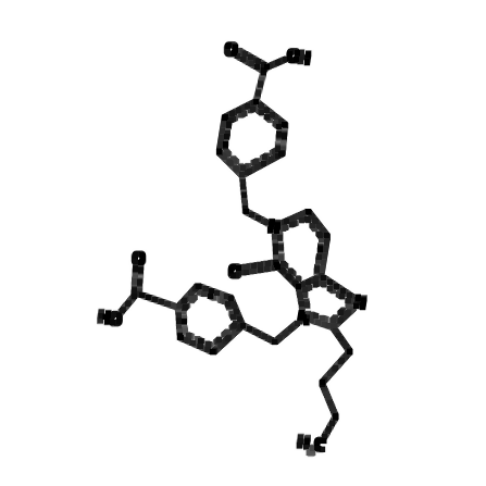 CCCCc1nc2ccn(Cc3ccc(C(=O)O)cc3)c(=O)c2n1Cc1ccc(C(=O)O)cc1